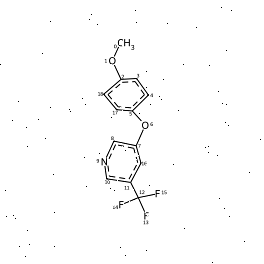 COc1ccc(Oc2cncc(C(F)(F)F)c2)cc1